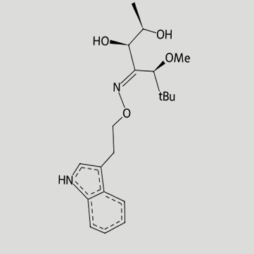 CO[C@H](/C(=N\OCCc1c[nH]c2ccccc12)[C@@H](O)[C@@H](C)O)C(C)(C)C